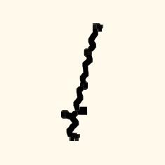 CC(C)CCCOCCCCOCCCNC(=O)CCC(C)C